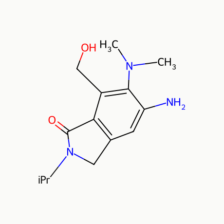 CC(C)N1Cc2cc(N)c(N(C)C)c(CO)c2C1=O